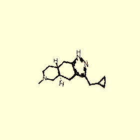 CN1CC[C@@H]2Cc3[nH]nc(CC4CC4)c3C[C@H]2C1